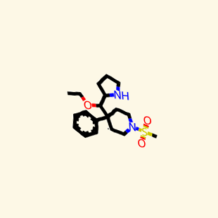 CCOC(C1CCCN1)C1(c2ccccc2)[CH]CN(S(C)(=O)=O)CC1